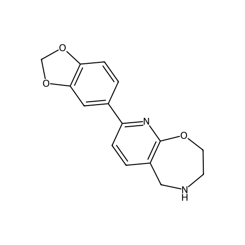 c1cc2c(cc1-c1ccc3c(n1)OCCNC3)OCO2